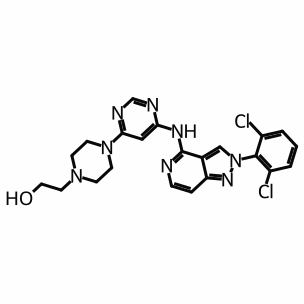 OCCN1CCN(c2cc(Nc3nccc4nn(-c5c(Cl)cccc5Cl)cc34)ncn2)CC1